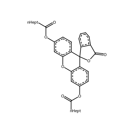 CCCCCCCC(=O)Oc1ccc2c(c1)Oc1cc(OC(=O)CCCCCCC)ccc1C21OC(=O)c2ccccc21